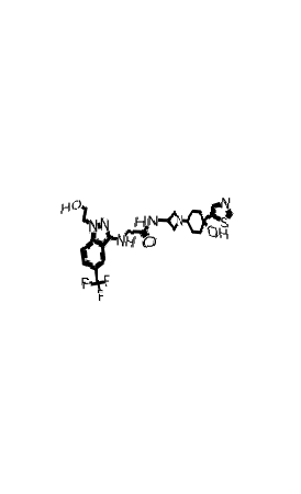 O=C(CNc1nn(CCO)c2ccc(C(F)(F)F)cc12)NC1CN(C2CCC(O)(c3cncs3)CC2)C1